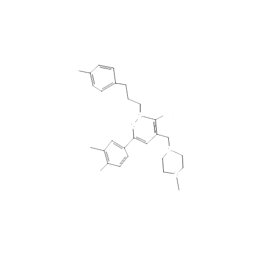 Cc1cc(C2=CC(CN3CCN(C)CC3)=C(O)N(CCCc3ccc(Cl)cc3)N2)ccc1F